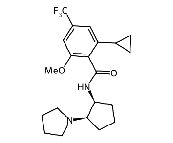 COc1cc(C(F)(F)F)cc(C2CC2)c1C(=O)N[C@H]1CCC[C@H]1N1CCCC1